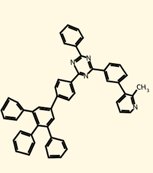 Cc1ncccc1-c1cccc(-c2nc(-c3ccccc3)nc(-c3ccc(-c4cc(-c5ccccc5)c(-c5ccccc5)c(-c5ccccc5)c4)cc3)n2)c1